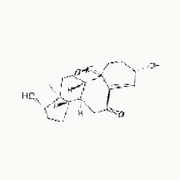 C[C@]12CC[C@H]3[C@@H](CC(=O)C4=C[C@@H](O)CC[C@@]43C=O)[C@@H]1CC[C@@H]2O